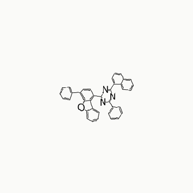 c1ccc(-c2nc(-c3cccc4ccccc34)nc(-c3ccc(-c4ccccc4)c4oc5ccccc5c34)n2)cc1